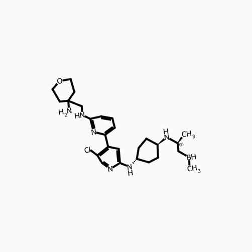 CBC[C@H](C)N[C@H]1CC[C@H](Nc2cc(-c3cccc(NCC4(N)CCOCC4)n3)c(Cl)cn2)CC1